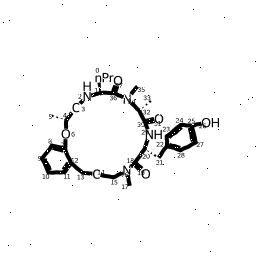 CCC[C@@H]1NC[C@@H](C)Oc2ccccc2CCCN(C)C(=O)[C@@H](Cc2ccc(O)cc2)NC(=O)[C@@H](C)N(C)C1=O